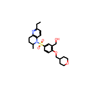 CCc1ccc2c(n1)CCC(C)N2S(=O)(=O)c1ccc(OCC2CCOCC2)c(CO)c1